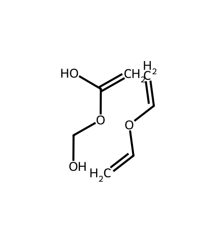 C=C(O)OCO.C=COC=C